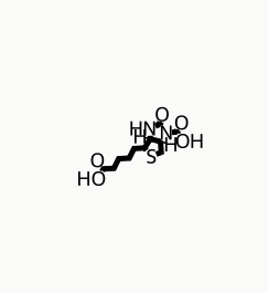 O=C(O)CCCCC1SC[C@H]2[C@@H]1NC(=O)N2C(=O)O